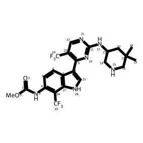 COC(=O)Nc1ccc2c(-c3nc(NC4CNCC(C)(C)C4)ncc3C(F)(F)F)c[nH]c2c1C(F)(F)F